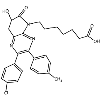 Cc1ccc(-c2nc3c(nc2-c2ccc(Cl)cc2)CC(O)C(=O)N3CCCCCCC(=O)O)cc1